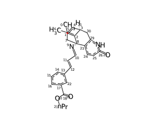 C/C=C1\[C@H]2C=C(C)C[C@]1(/N=C/C=C/c1cccc(C(=O)OCCC)c1)c1ccc(=O)[nH]c1C2